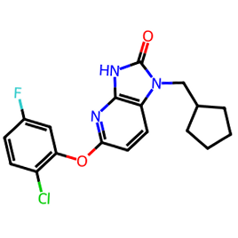 O=c1[nH]c2nc(Oc3cc(F)ccc3Cl)ccc2n1CC1CCCC1